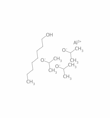 CC(C)[O-].CC(C)[O-].CC(C)[O-].CCCCCCCCO.[Al+3]